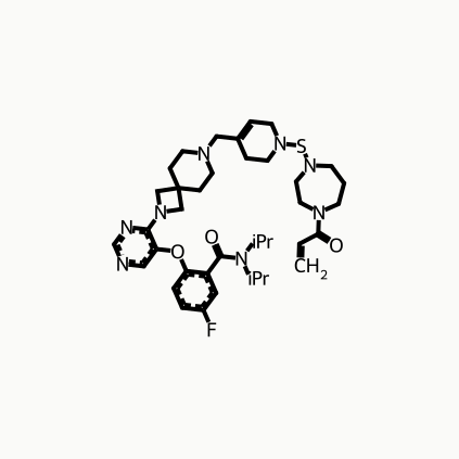 C=CC(=O)N1CCCN(SN2CC=C(CN3CCC4(CC3)CN(c3ncncc3Oc3ccc(F)cc3C(=O)N(C(C)C)C(C)C)C4)CC2)CC1